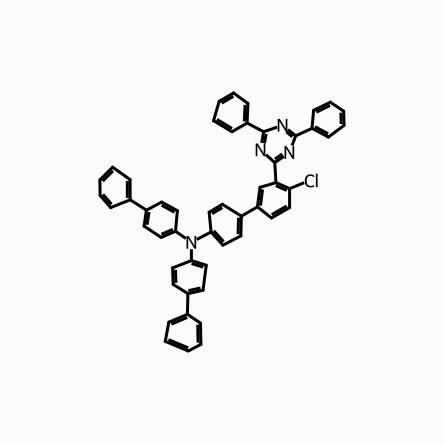 Clc1ccc(-c2ccc(N(c3ccc(-c4ccccc4)cc3)c3ccc(-c4ccccc4)cc3)cc2)cc1-c1nc(-c2ccccc2)nc(-c2ccccc2)n1